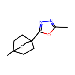 Cc1nnc(C23CCC(C)(CC2)CC3)o1